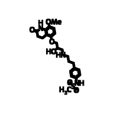 COc1ccc(OCC(O)CNCCCc2ccc(NS(C)(=O)=O)cc2)c2c1NC(=O)CC2